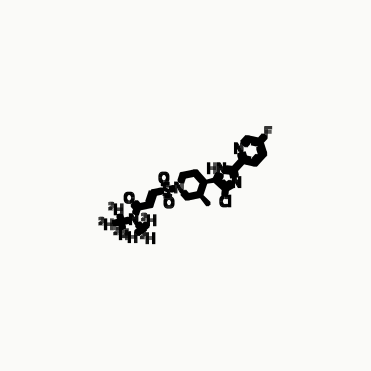 [2H]C([2H])([2H])N(C(=O)C=CS(=O)(=O)N1CC[C@@H](c2[nH]c(-c3ccc(F)cn3)nc2Cl)[C@@H](C)C1)C([2H])([2H])[2H]